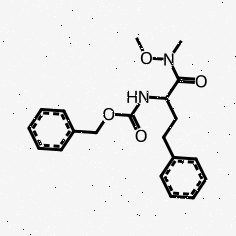 CON(C)C(=O)C(CCc1ccccc1)NC(=O)OCc1ccccc1